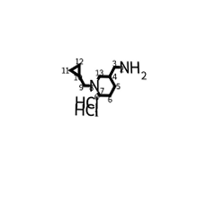 Cl.Cl.NCC1CCCN(CC2CC2)C1